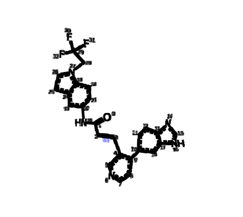 O=C(/C=C/c1cnccc1-c1ccc2nc[nH]c2c1)Nc1ccc2c(ccn2CC(F)(F)F)c1